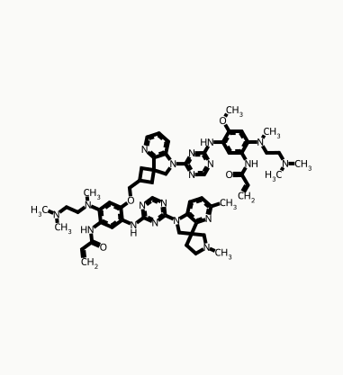 C=CC(=O)Nc1cc(Nc2ncnc(N3CC4(CC(COc5cc(N(C)CCN(C)C)c(NC(=O)C=C)cc5Nc5ncnc(N6CC7(CCN(C)C7)c7nc(C)ccc76)n5)C4)c4ncccc43)n2)c(OC)cc1N(C)CCN(C)C